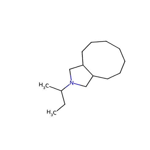 CCC(C)N1CC2CCCCCCCC2C1